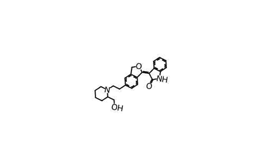 O=C1Nc2ccccc2C1=C1OCc2cc(CCN3CCCCC3CO)ccc21